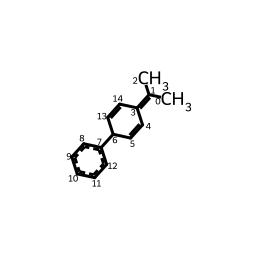 CC(C)=C1C=CC(c2ccccc2)C=C1